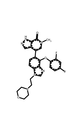 Cn1cc(-c2ccc3c(ncn3CCN3CCOCC3)c2Oc2ccc(F)cc2F)c2cn[nH]c2c1=O